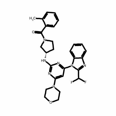 Cc1ccccc1C(=O)N1CC[C@H](Nc2nc(N3CCOCC3)cc(-n3c(C(F)F)nc4ccccc43)n2)C1